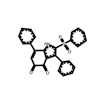 O=C1C=C(c2ccccc2)c2[nH]c(S(=O)(=O)c3ccccc3)c(-c3ccccc3)c2C1=O